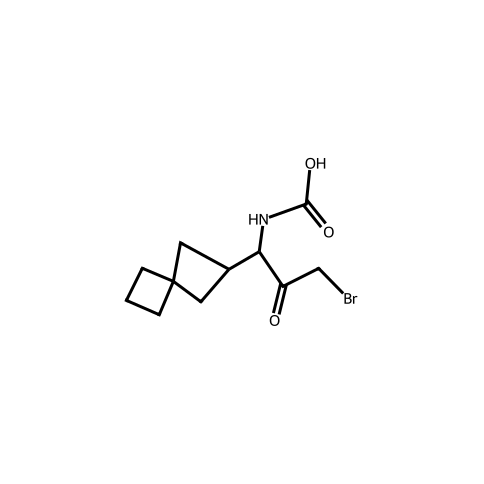 O=C(O)NC(C(=O)CBr)C1CC2(CCC2)C1